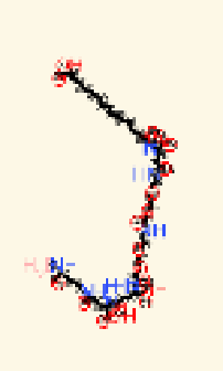 BN[C@H](C=O)CCCCNC(=O)CC[C@H](NC(=O)CCC(NC(=O)COCCOCCNC(=O)COCCOCCNC(=O)CCC(NC(=O)CCCCCCCCCCCCCCCCC(=O)O)C(=O)O)C(=O)O)C(=O)O